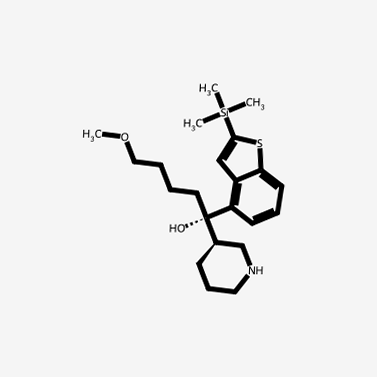 COCCCC[C@@](O)(c1cccc2sc([Si](C)(C)C)cc12)[C@@H]1CCCNC1